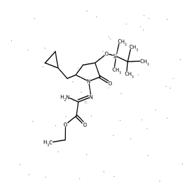 CCOC(=O)/C(N)=N/N1C(=O)C(O[Si](C)(C)C(C)(C)C)CC1CC1CC1